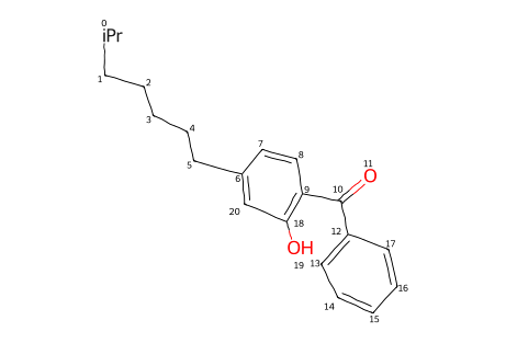 CC(C)CCCCCc1ccc(C(=O)c2ccccc2)c(O)c1